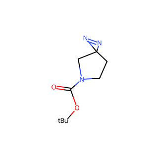 CC(C)(C)OC(=O)N1CCC2(C1)N=N2